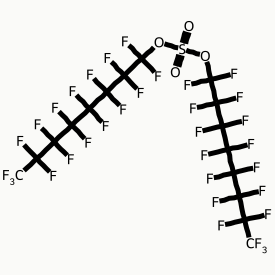 O=S(=O)(OC(F)(F)C(F)(F)C(F)(F)C(F)(F)C(F)(F)C(F)(F)C(F)(F)C(F)(F)F)OC(F)(F)C(F)(F)C(F)(F)C(F)(F)C(F)(F)C(F)(F)C(F)(F)C(F)(F)F